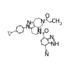 C=CC(=O)N1CCc2nn(-c3ccc(C4CC4)cc3)c3c2[C@@H](C1)N(C(=O)c1ccc(C#N)c2[nH]cnc12)CC3